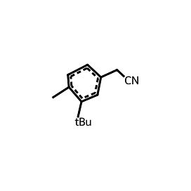 Cc1ccc(CC#N)cc1C(C)(C)C